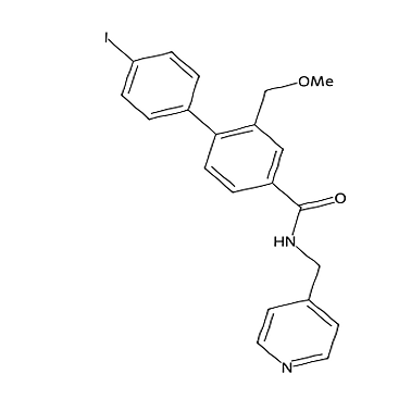 COCc1cc(C(=O)NCc2ccncc2)ccc1-c1ccc(I)cc1